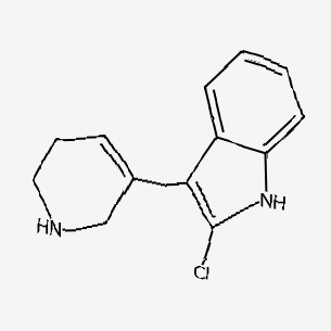 Clc1[nH]c2ccccc2c1C1=CCCNC1